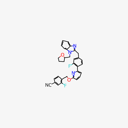 N#Cc1ccc(COc2cccc(-c3ccc(Cc4nc5ccccc5n4CC4CCCO4)cc3F)n2)c(F)c1